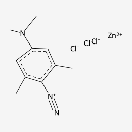 Cc1cc(N(C)C)cc(C)c1[N+]#N.[Cl-].[Cl-].[Cl-].[Zn+2]